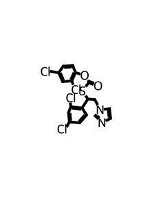 O=C(Oc1ccc(Cl)cc1Cl)SC(Cn1ccnc1)c1ccc(Cl)cc1Cl